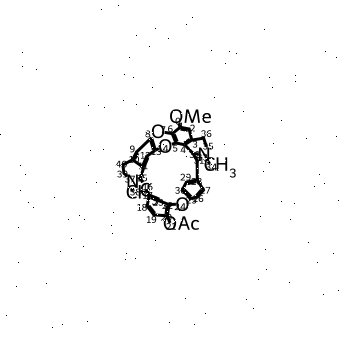 COc1cc2c3c4c1Oc1cc5c(cc1O4)C(Cc1ccc(OC(C)=O)c(c1)Oc1ccc(cc1)CC3N(C)CC2)N(C)CC5